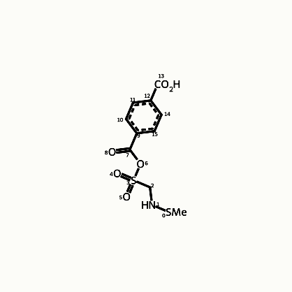 CSNCS(=O)(=O)OC(=O)c1ccc(C(=O)O)cc1